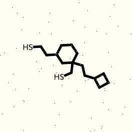 SCCC1CCCC(CS)(CCC2CCC2)C1